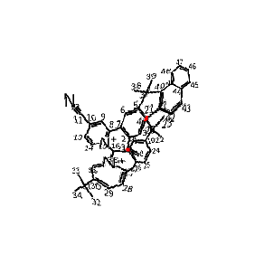 C=Cc1cc2c(cc1-c1cc(C#N)cc[n+]1C1c3cc(C(C)(C)C)ccc3-c3ccc(C(C)(C)C)c[n+]31)C(C)(C)c1c-2ccc2ccccc12